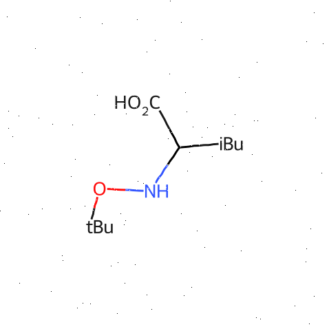 CCC(C)C(NOC(C)(C)C)C(=O)O